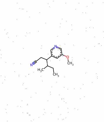 CCC(C)C(CC#N)c1cncc(OC)c1